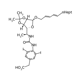 CCCCCCCC=CC=CCO[C@H]1O[C@H]([C@H](C)NC(=O)Nc2c(I)cc(CC(=O)O)cc2I)[C@@H]2OC(C)(C)O[C@H]12